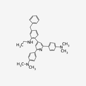 CCNc1cc(Cc2ccccc2)ccc1-c1cc(-c2ccc(N(C)C)cc2)nc(-c2ccc(N(C)C)cc2)c1